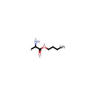 CC(C)CCCOC(=O)C(C)[NH]